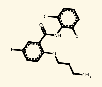 CCCCOc1ccc(F)cc1C(=O)Nc1c(F)cccc1Cl